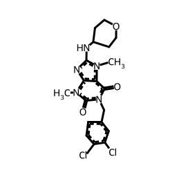 Cn1c(NC2CCOCC2)nc2c1c(=O)n(Cc1ccc(Cl)c(Cl)c1)c(=O)n2C